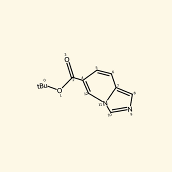 CC(C)(C)OC(=O)c1ccc2cncn2c1